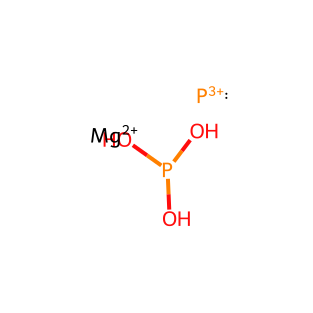 OP(O)O.[Mg+2].[P+3]